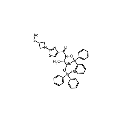 CC(=O)SC1CN(c2nc(C(=O)N(O[Si](c3ccccc3)(c3ccccc3)C(C)(C)C)C(C)CO[Si](c3ccccc3)(c3ccccc3)C(C)(C)C)cs2)C1